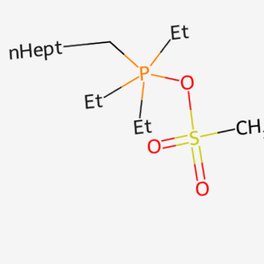 CCCCCCCCP(CC)(CC)(CC)OS(C)(=O)=O